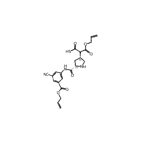 C=CCOC(=O)c1cc(C#N)cc(NC(=O)[C@@H]2C[C@@H](C(C(=O)S)C(=O)OCC=C)CN2)c1